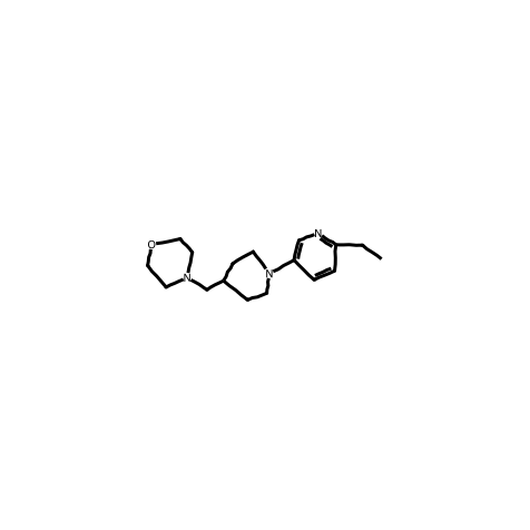 CCc1ccc(N2CCC(CN3CCOCC3)CC2)cn1